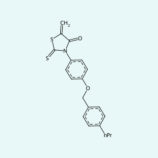 C=C1SC(=S)N(c2ccc(OCc3ccc(CCC)cc3)cc2)C1=O